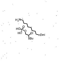 CCCCC(CC)COP(=O)(O)O.CCCCCCCCCCCCCCCCCCN